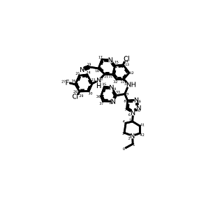 CCN1CCC(n2cc(C(Nc3cc(Cl)c4ncc(C#N)c(Nc5ccc(F)c(Cl)c5)c4c3)c3ncccn3)nn2)CC1